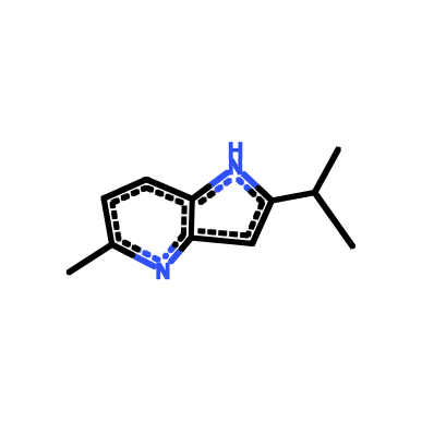 Cc1ccc2[nH]c(C(C)C)cc2n1